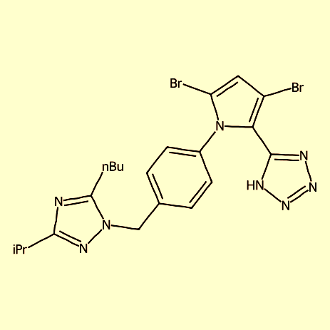 CCCCc1nc(C(C)C)nn1Cc1ccc(-n2c(Br)cc(Br)c2-c2nnn[nH]2)cc1